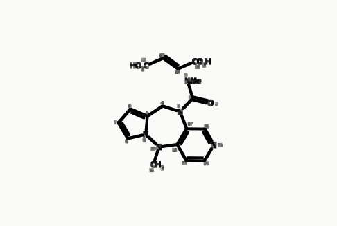 CNC(=O)N1Cc2cccn2N(C)c2ccncc21.O=C(O)C=CC(=O)O